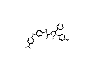 CC(C)c1ccc(Oc2ccc(NC(=O)N3CC(c4ccccc4)=C(c4ccc(Cl)cc4)N3)cc2)cc1